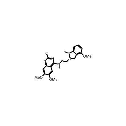 COc1cc2nc(Cl)nc(NCCN3Cc4c(OC)cccc4N3C)c2cc1OC